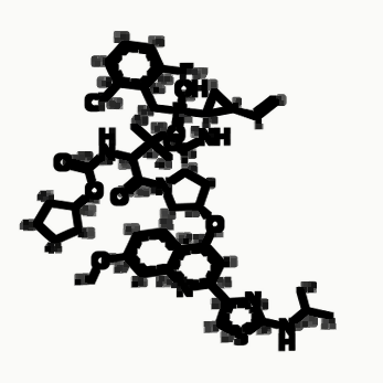 C=C[C@@H]1C[C@]1(NC(=O)[C@@H]1C[C@@H](Oc2cc(-c3csc(NC(C)C)n3)nc3cc(OC)ccc23)CN1C(=O)C(NC(=O)OC1CCCC1)C(C)(C)C)P(=O)(O)Cc1c(F)cccc1Cl